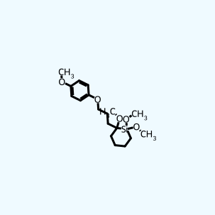 COc1ccc(OCCCC2(OC)CCCC[Si]2(OC)OC)cc1